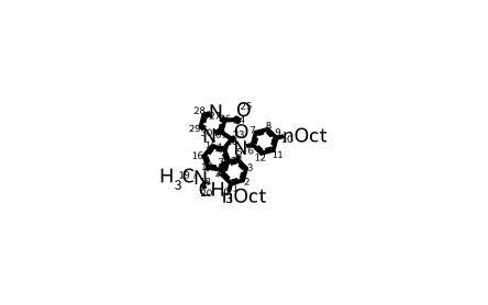 CCCCCCCCc1ccc(N(c2ccc(CCCCCCCC)cc2)C2(c3ccc(N(C)C)cc3)OC(=O)c3nccnc32)cc1